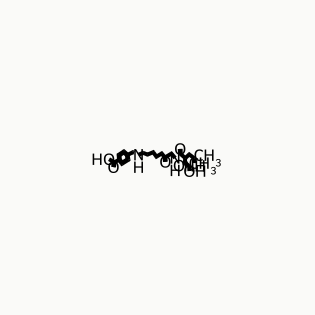 CC(C)CC(C(=O)NO)C(=O)NCC(=O)CCCCCNCc1ccc(C(=O)O)cc1